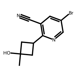 CC1(O)CC(c2ncc(Br)cc2C#N)C1